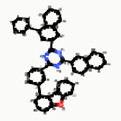 c1ccc(-c2cc(-c3nc(-c4cccc(-c5cccc6oc7ccccc7c56)c4)nc(-c4ccc5ccccc5c4)n3)cc3ccccc23)cc1